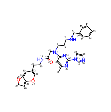 Cc1cc(N(CCCNCc2ccccc2)CC(=O)NCCC2=COC3=CCOC3=C2)nc(-n2ccnc2)n1